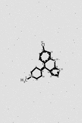 CN1CCC(=C2c3ccc(Cl)cc3Sc3sccc32)CC1